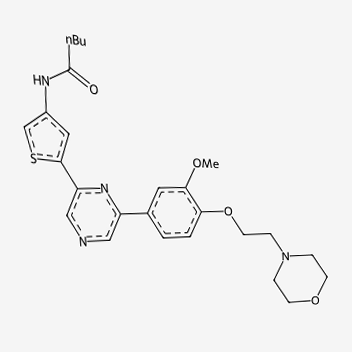 CCCCC(=O)Nc1csc(-c2cncc(-c3ccc(OCCN4CCOCC4)c(OC)c3)n2)c1